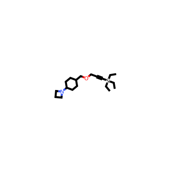 CC[Si](C#CCOCC1CCC(N2CCC2)CC1)(CC)CC